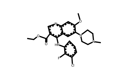 CCOC(=O)c1cnc2cc(OC)c(N3CCN(C)CC3)cc2c1Nc1cccc(Cl)c1F